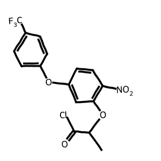 CC(Oc1cc(Oc2ccc(C(F)(F)F)cc2)ccc1[N+](=O)[O-])C(=O)Cl